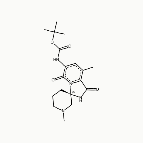 Cc1cc(NC(=O)OC(C)(C)C)c(=O)n2c1C(=O)N[C@@]21CCCN(C)C1